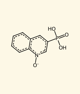 O=P(O)(O)c1cc2ccccc2[n+]([O-])c1